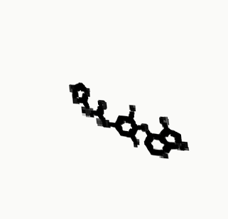 O=C(Nc1cc(F)c(Oc2ccnc3[nH]cc(Cl)c23)c(F)c1)Nc1nncs1